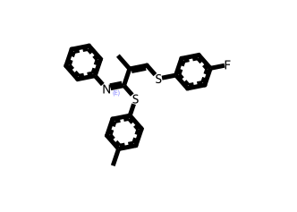 CC(=CSc1ccc(F)cc1)/C(=N\c1ccccc1)Sc1ccc(C)cc1